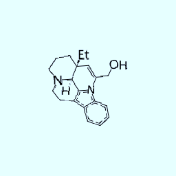 CC[C@]12C=C(CO)n3c4c(c5ccccc53)CCN(CCC1)[C@H]42